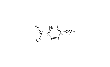 COc1ccc(C(=O)Cl)nc1